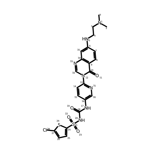 CN(C)CCNc1ccc2c(=O)n(-c3ccc(NC(=O)NS(=O)(=O)c4ccc(Cl)s4)cn3)cnc2c1